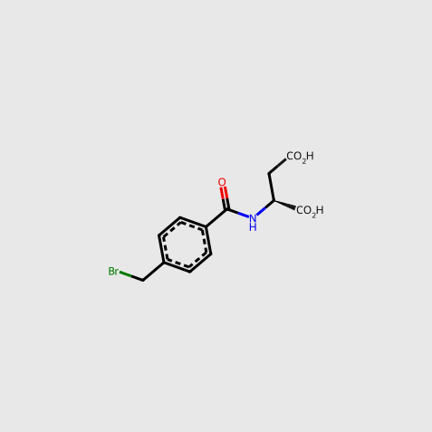 O=C(O)C[C@H](NC(=O)c1ccc(CBr)cc1)C(=O)O